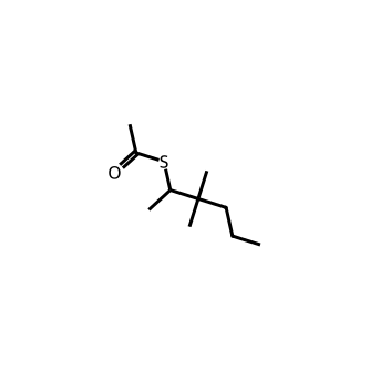 CCCC(C)(C)C(C)SC(C)=O